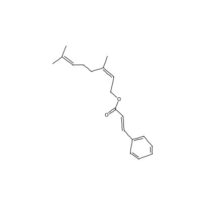 CC(C)=CCCC(C)=CCOC(=O)C=Cc1ccccc1